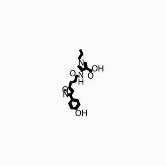 CCCn1cc(NC(=O)CCc2cc(-c3ccc(O)cc3)no2)c(C(=O)O)c1